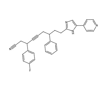 N#CCC(C#CCC(CCc1ncc(-c2ccncc2)[nH]1)c1ccccc1)c1ccc(F)cc1